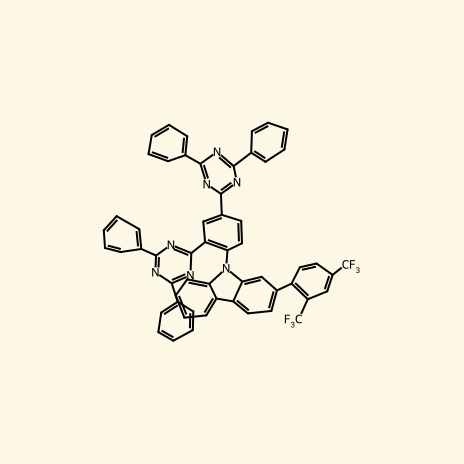 FC(F)(F)c1ccc(-c2ccc3c4ccccc4n(-c4ccc(-c5nc(-c6ccccc6)nc(-c6ccccc6)n5)cc4-c4nc(-c5ccccc5)nc(-c5ccccc5)n4)c3c2)c(C(F)(F)F)c1